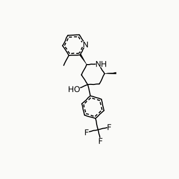 Cc1cccnc1[C@@H]1CC(O)(c2ccc(C(F)(F)F)cc2)C[C@H](C)N1